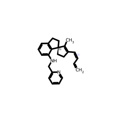 C=C/C=C\C1=C(C)[C@@]2(CC1)CCc1cccc(NCc3ccccn3)c12